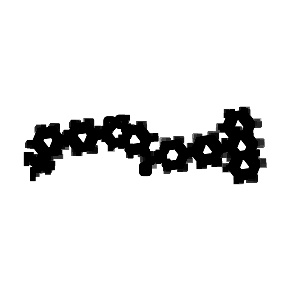 O=C(Cn1cc([S+]([O-])N2CCC(c3ccc(-c4c5ccccc5cc5ccccc45)cc3)CC2)ccc1=O)c1ccc(-c2cccc(C(F)(F)F)c2)cc1